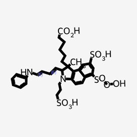 CC1(CCCCCC(=O)O)c2c(ccc3c(SOOO)cc(S(=O)(=O)O)cc23)N(CCCS(=O)(=O)O)C1/C=C/C=C/Nc1ccccc1